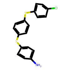 Nc1ccc(Sc2ccc(Sc3ccc(Cl)cc3)cc2)cc1